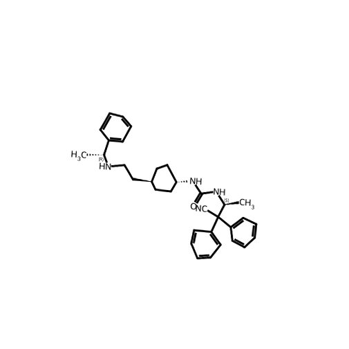 C[C@H](NC(=O)N[C@H]1CC[C@H](CCN[C@H](C)c2ccccc2)CC1)C(C#N)(c1ccccc1)c1ccccc1